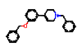 C1=C(c2cccc(OCc3ccccc3)c2)CCN(Cc2ccccc2)C1